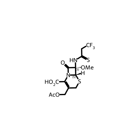 CO[C@@]1(NC(=S)CC(F)(F)F)C(=O)N2C(C(=O)O)=C(COC(C)=O)CS[C@H]21